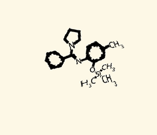 Cc1ccc(N=C(c2ccccc2)N2CCCC2)c(O[Si](C)(C)C)c1